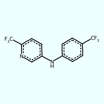 FC(F)(F)c1ccc(Nc2ccc(C(F)(F)F)nc2)cc1